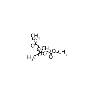 CCOC(=O)CO[Si](C)(OCC)OCC(=O)OCC